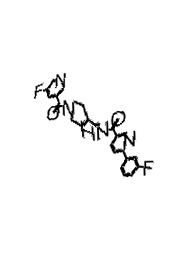 O=C(NCC1CCN(C(=O)c2cncc(F)c2)CC1)c1ccc(-c2cccc(F)c2)nc1